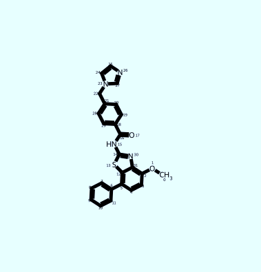 COc1ccc(-c2ccccc2)c2sc(NC(=O)c3ccc(Cn4ccnc4)cc3)nc12